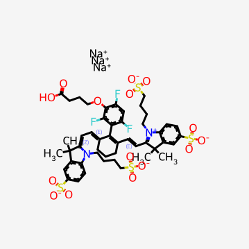 CC1(C)C(/C=C/C2=C(c3c(F)cc(F)c(OCCCC(=O)O)c3F)C(=C/C=C3\N(CCCCS(=O)(=O)[O-])c4ccc(S(=O)(=O)[O-])cc4C3(C)C)/CCC2)=[N+](CCCCS(=O)(=O)[O-])c2ccc(S(=O)(=O)[O-])cc21.[Na+].[Na+].[Na+]